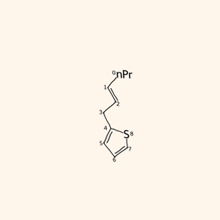 CCCC=CCc1cccs1